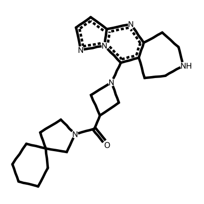 O=C(C1CN(c2c3c(nc4ccnn24)CCNCC3)C1)N1CCC2(CCCCC2)C1